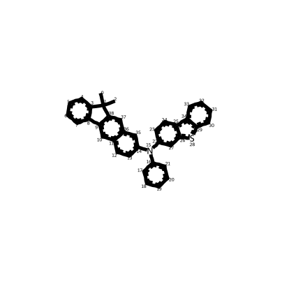 CC1(C)c2ccccc2-c2cc3ccc(N(c4ccccc4)c4ccc5c(c4)sc4ccccc45)cc3cc21